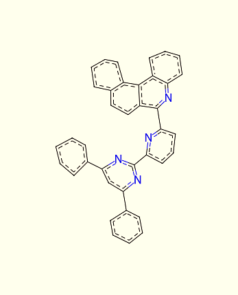 c1ccc(-c2cc(-c3ccccc3)nc(-c3cccc(-c4nc5ccccc5c5c4ccc4ccccc45)n3)n2)cc1